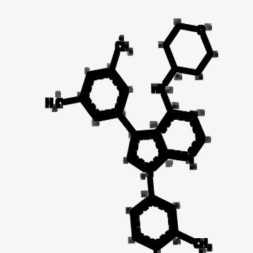 Cc1cc(C)cc(-c2cn(-c3cccc(C)c3)c3ncnc(NC4CCOCC4)c23)c1